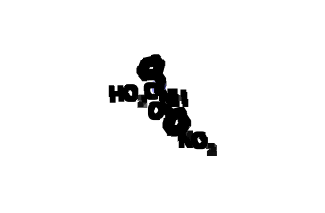 O=C(O)/C(=C\c1ccccc1)NC(=O)c1ccc([N+](=O)[O-])cc1